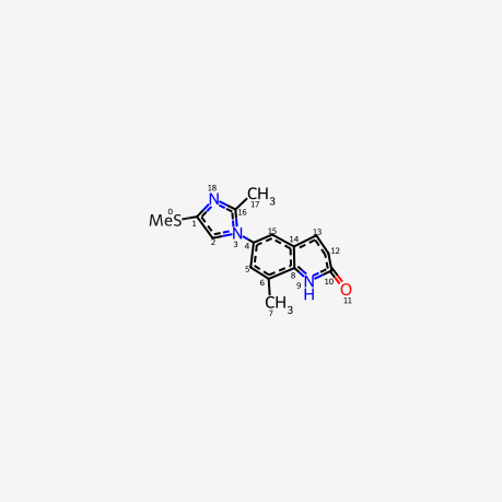 CSc1cn(-c2cc(C)c3[nH]c(=O)ccc3c2)c(C)n1